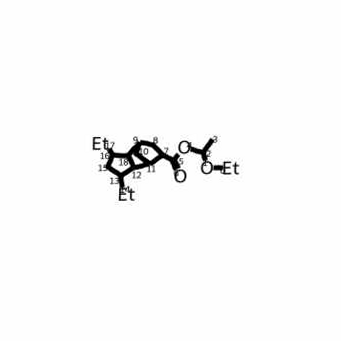 CCOC(C)OC(=O)C1CC2CC1C1C(CC)CC(CC)C21